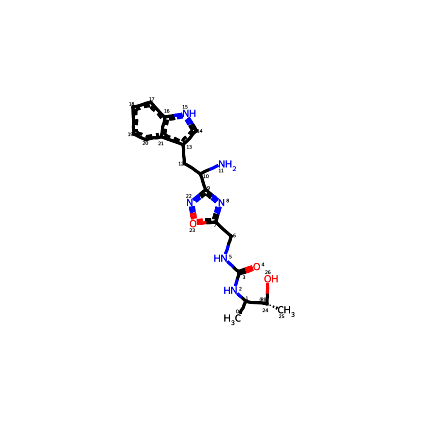 CC(NC(=O)NCc1nc(C(N)Cc2c[nH]c3ccccc23)no1)[C@@H](C)O